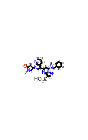 CN1C[C@H](n2cc(-c3cc(N(C)Cc4ccccc4)n4ncc(C(=O)O)c4n3)c3cccnc32)CC1=O